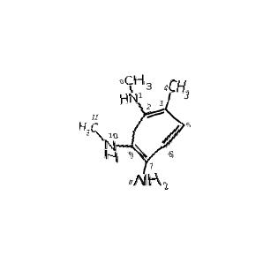 CNc1c(C)ccc(N)c1NC